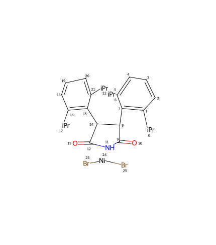 CC(C)c1cccc(C(C)C)c1C1C(=O)NC(=O)C1c1c(C(C)C)cccc1C(C)C.[Br][Ni][Br]